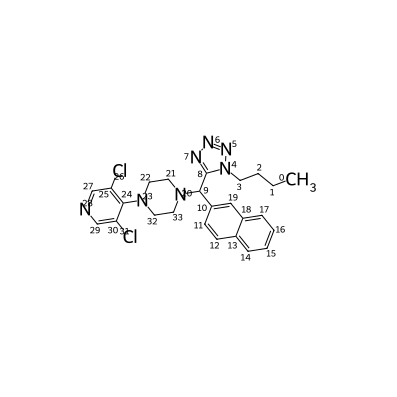 CCCCn1nnnc1C(c1ccc2ccccc2c1)N1CCN(c2c(Cl)cncc2Cl)CC1